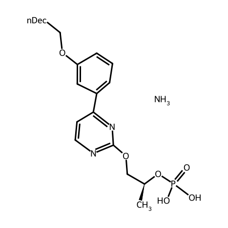 CCCCCCCCCCCOc1cccc(-c2ccnc(OC[C@H](C)OP(=O)(O)O)n2)c1.N